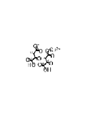 O=C([O-])CC(=O)C(=O)O.O=C([O-])CC(=O)C(=O)O.[Cu+2]